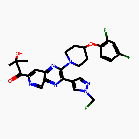 CC(C)(O)C(=O)c1cc2nc(N3CCC(Oc4ccc(F)cc4F)CC3)c(-c3cnn(CF)c3)nc2cn1